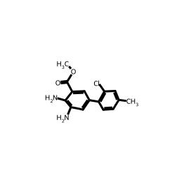 COC(=O)c1cc(-c2ccc(C)cc2Cl)cc(N)c1N